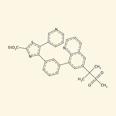 CCOC(=O)c1nc(-c2cccc(-c3cc(C(C)(C)S(C)(=O)=O)cc4cccnc34)c2)c(-c2cccnc2)s1